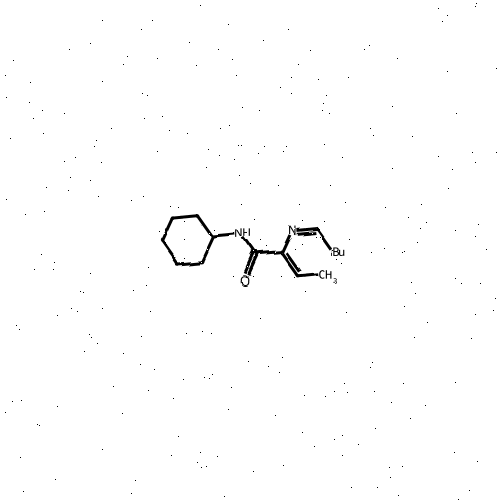 C/C=C(\N=C/C(C)CC)C(=O)NC1CCCCC1